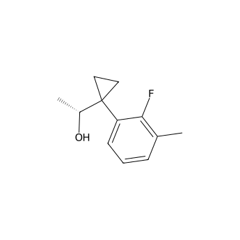 Cc1cccc(C2([C@@H](C)O)CC2)c1F